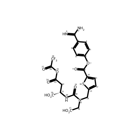 N=C(N)c1ccc(OC(=O)c2ccc(CN(CC(=O)O)C(=O)N[C@@H](CC(=O)OC(=O)C(F)(F)F)C(=O)O)s2)cc1